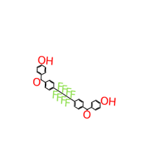 O=C(c1ccc(O)cc1)c1ccc(C(F)(F)C(F)(F)C(F)(F)C(F)(F)c2ccc(C(=O)c3ccc(O)cc3)cc2)cc1